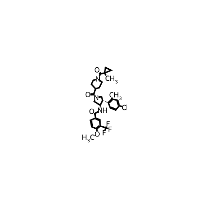 COc1ccc(C(=O)N[C@H]2CN(C(=O)C3CCN(C(=O)C4(C)CC4)CC3)C[C@@H]2c2ccc(Cl)cc2C)cc1C(F)(F)F